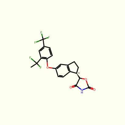 CC(F)(F)c1cc(C(F)(F)F)ccc1Oc1ccc2c(c1)CC[C@H]2C1OC(=O)NC1=O